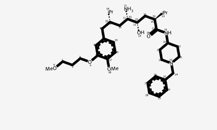 COCCCOc1cc(C[C@@H](C[C@H](N)[C@@H](O)C[C@H](C(=O)NC2CCN(Cc3ccccc3)CC2)C(C)C)C(C)C)ccc1OC